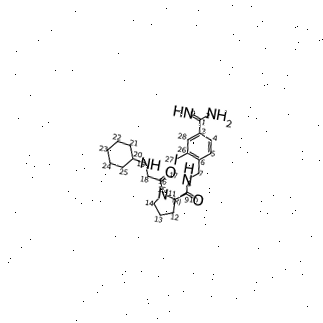 N=C(N)c1ccc(CNC(=O)[C@H]2CCCN2C(=O)CNC2CCCCC2)c(I)c1